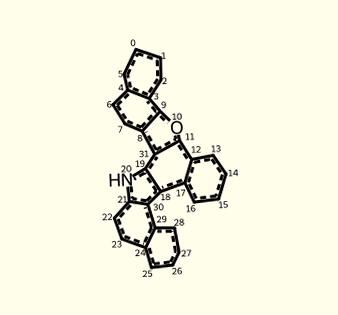 c1ccc2c(c1)ccc1c2oc2c3ccccc3c3c([nH]c4ccc5ccccc5c43)c12